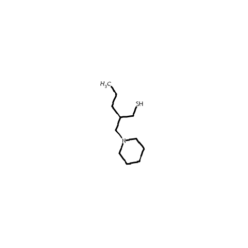 CCCC(CS)CN1CCCCC1